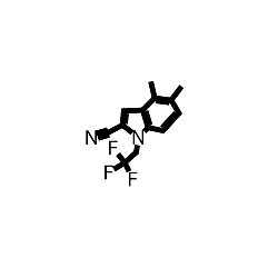 Cc1ccc2c(cc(C#N)n2CC(F)(F)F)c1C